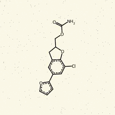 NC(=O)OCC1Cc2cc(-c3ccco3)cc(Cl)c2O1